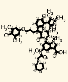 Cc1cc(OCCCc2c3n(c4c(-c5c(C)nn(C)c5C)c(Cl)ccc24)[C@H](C)CN(c2cc(N(C)C(=O)CN4CCCCC4)cc4c(C(=O)O)cn(C)c24)C3=O)cc(C)c1Cl